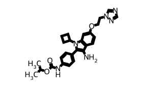 CC(C)OC(=O)Nc1ccc(-c2c(N)c3ccc(OCCn4cncn4)cc3n2C2CCC2)cc1